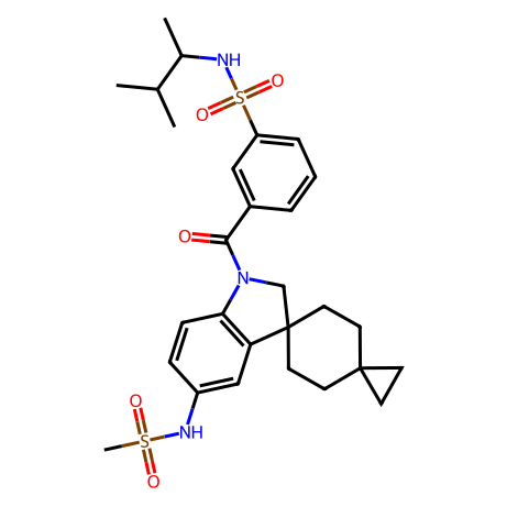 CC(C)C(C)NS(=O)(=O)c1cccc(C(=O)N2CC3(CCC4(CC4)CC3)c3cc(NS(C)(=O)=O)ccc32)c1